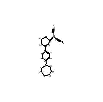 N#CC(C#N)=C1C=C(c2ccc(N3CCCCCC3)cc2)CCC1